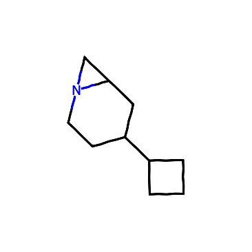 C1CC(C2CCN3CC3C2)C1